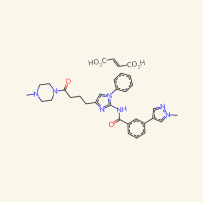 CN1CCN(C(=O)CCCc2cn(-c3ccccc3)c(NC(=O)c3cccc(-c4cnn(C)c4)c3)n2)CC1.O=C(O)/C=C/C(=O)O